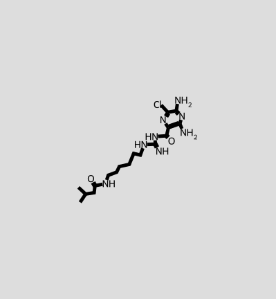 CC(C)CC(=O)NCCCCCCNC(=N)NC(=O)c1nc(Cl)c(N)nc1N